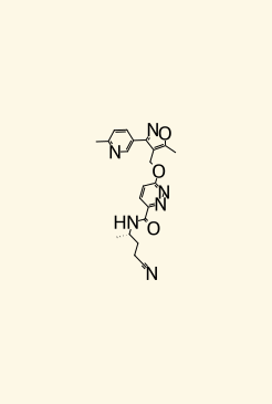 Cc1ccc(-c2noc(C)c2COc2ccc(C(=O)N[C@@H](C)CCC#N)nn2)cn1